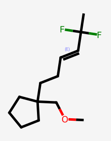 COCC1(CC/C=C/C(C)(F)F)CCCC1